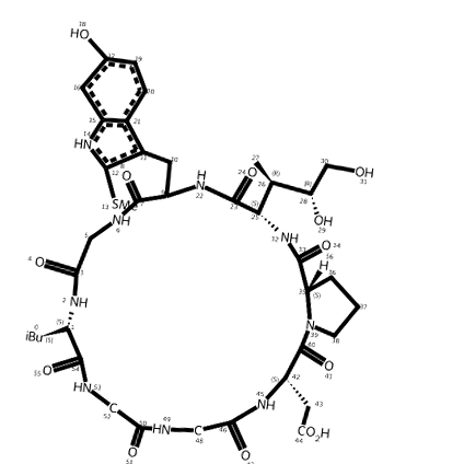 CC[C@H](C)[C@@H]1NC(=O)CNC(=O)C(Cc2c(SC)[nH]c3cc(O)ccc23)NC(=O)[C@H]([C@@H](C)[C@@H](O)CO)NC(=O)[C@@H]2CCCN2C(=O)[C@H](CC(=O)O)NC(=O)CNC(=O)CNC1=O